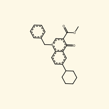 COC(=O)c1cn(Cc2ccccc2)c2ccc(C3CCCCC3)cc2c1=O